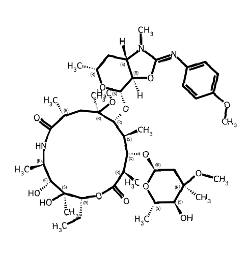 CC[C@H]1OC(=O)[C@H](C)[C@@H](O[C@H]2C[C@@](C)(OC)[C@@H](O)[C@H](C)O2)[C@H](C)[C@@H](O[C@@H]2O[C@H](C)C[C@H]3[C@H]2OC(=Nc2ccc(OC)cc2)N3C)[C@](C)(OC)C[C@@H](C)C(=O)N[C@H](C)[C@@H](O)[C@]1(C)O